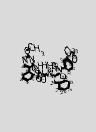 COc1ncc(-c2ccccc2S(=O)(=O)NC(=O)N[C@@H](Cc2ccccc2)C(=O)N(C)c2ccc3c(c2)OCO3)cn1